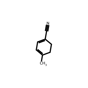 CC1=CC=C(C#N)CC1